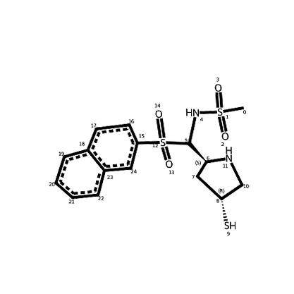 CS(=O)(=O)NC([C@@H]1C[C@@H](S)CN1)S(=O)(=O)c1ccc2ccccc2c1